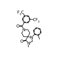 Cc1ccccc1N1CN(C)C(=O)C12CCN(C(=O)c1cc(C(F)(F)F)cc(C(F)(F)F)c1)CC2